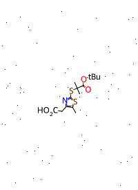 Cc1sc(SC(C)(C)C(=O)OC(C)(C)C)nc1CC(=O)O